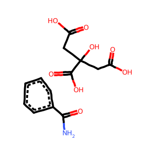 NC(=O)c1ccccc1.O=C(O)CC(O)(CC(=O)O)C(=O)O